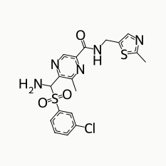 Cc1ncc(CNC(=O)c2cnc(C(N)S(=O)(=O)c3cccc(Cl)c3)c(C)n2)s1